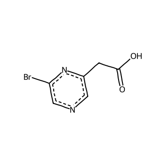 O=C(O)Cc1cncc(Br)n1